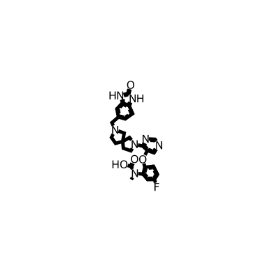 CN(C(=O)O)c1cc(F)ccc1Oc1cncnc1N1CCC2(CCN(Cc3ccc4[nH]c(=O)[nH]c4c3)C2)C1